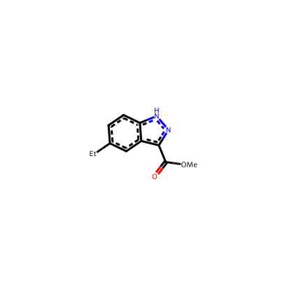 CCc1ccc2[nH]nc(C(=O)OC)c2c1